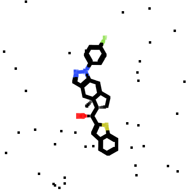 C[C@]12Cc3cnn(-c4ccc(F)cc4)c3C=C1CC[C@@H]2[C@@H](O)c1cc2ccccc2s1